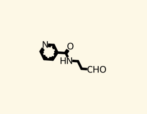 O=CCCNC(=O)c1cccnc1